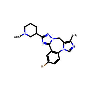 Cc1ncn2c1Cn1nc(C3CCCN(C=O)C3)nc1-c1cc(Br)ccc1-2